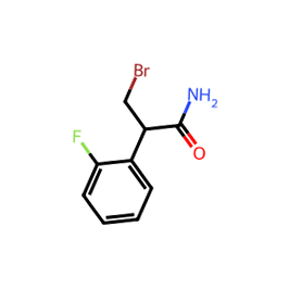 NC(=O)C(CBr)c1ccccc1F